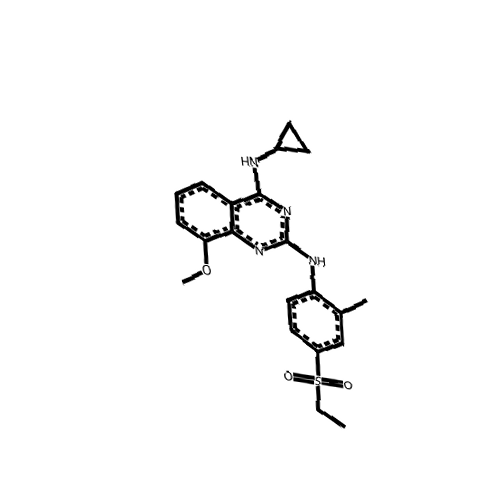 CCS(=O)(=O)c1ccc(Nc2nc(NC3CC3)c3cccc(OC)c3n2)c(C)c1